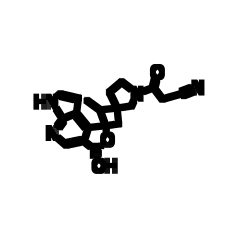 CC1C2(CCN(C(=O)CC#N)C2)CC12OB(O)c1cnc3[nH]ccc3c12